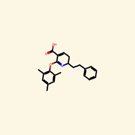 Cc1cc(C)c(OC2=NC(CCc3ccccc3)CC=C2C(=O)O)c(C)c1